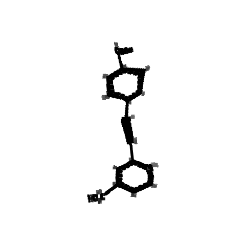 COc1ccc(C#Cc2cc(C(=O)O)ccn2)cc1